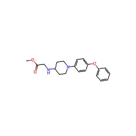 COC(=O)CNC1CCN(c2ccc(Oc3ccccc3)cc2)CC1